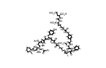 CCCC(=O)OCN(C(=O)[C@@H](NC(=O)[C@H]1CCCCN1C)C(C)CC)[C@H](C[C@@H](OC(C)=O)c1nc(C(=O)N[C@@H](Cc2ccc(O)cc2)C[C@H](C)C(=O)NNC(=O)OCCSSC[C@@H](C)NC(=O)[C@H](Cc2ccccc2)NC(=O)[C@H](CCC(=O)O)NC(=O)Cc2ccc(CNC(=O)NCCCC[C@H](NC(=O)N[C@@H](CCC(=O)O)C(=O)O)C(=O)O)cc2)cs1)C(C)C